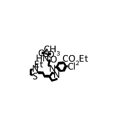 CCOC(=O)c1cc2c(cc1Cl)N1CCC(=CC=C3SCCN3CC)C1N2CC(=O)NS(C)(=O)=O